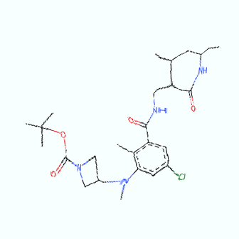 Cc1c(C(=O)NCC2C(=O)NC(C)CC2C)cc(Cl)cc1N(C)C1CN(C(=O)OC(C)(C)C)C1